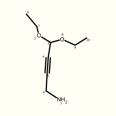 CCOC(C#CCN)OCC